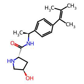 CC(C)=C(C)c1ccc([C@H](C)NC(=O)[C@@H]2C[C@@H](O)CN2)cc1